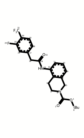 CC(C)(C)OC(=O)N1CCc2c(cccc2NC(=O)Cc2ccc(C(F)(F)F)c(F)c2)C1